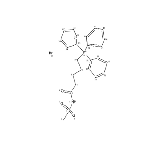 CS(=O)(=O)NC(=O)CCCC[P+](c1ccccc1)(c1ccccc1)c1ccccc1.[Br-]